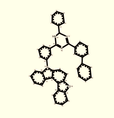 c1ccc(-c2cccc(C3=NC(c4ccccc4)NC(c4cccc(-n5c6ccccc6c6c7c(ccc65)oc5ccccc57)c4)=N3)c2)cc1